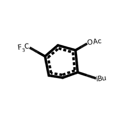 CCC(C)c1ccc(C(F)(F)F)cc1OC(C)=O